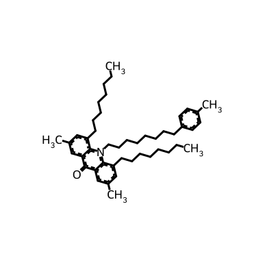 CCCCCCCCc1cc(C)cc2c(=O)c3cc(C)cc(CCCCCCCC)c3n(CCCCCCCCc3ccc(C)cc3)c12